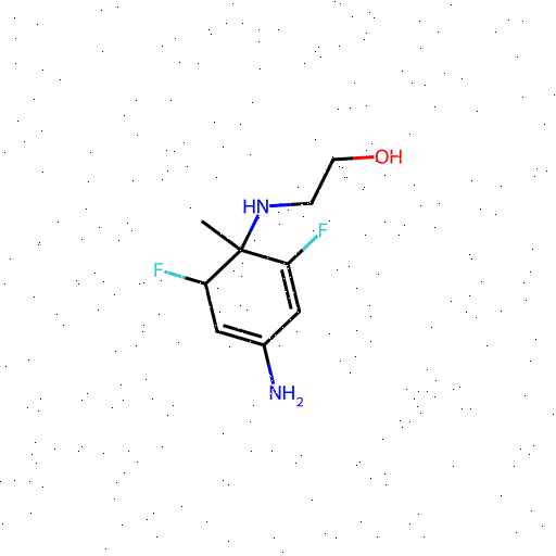 CC1(NCCO)C(F)=CC(N)=CC1F